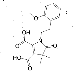 COc1ccccc1CCN1C(=O)C(C)(C)C(C(=O)O)=C1C(=O)O